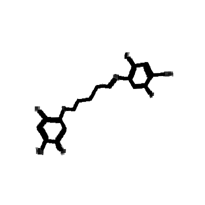 Oc1cc(F)c(OCCCCCOc2cc(F)c(O)cc2F)cc1F